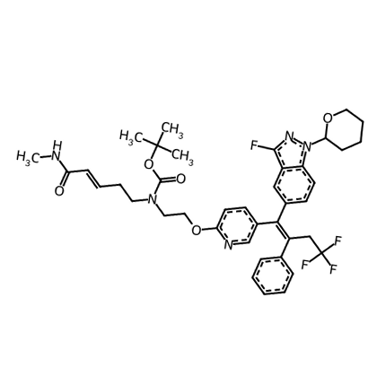 CNC(=O)/C=C/CCN(CCOc1ccc(/C(=C(/CC(F)(F)F)c2ccccc2)c2ccc3c(c2)c(F)nn3C2CCCCO2)cn1)C(=O)OC(C)(C)C